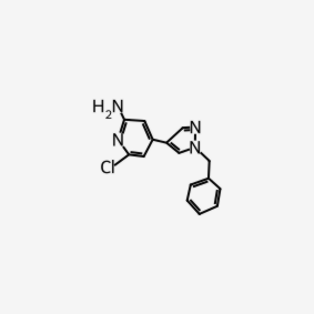 Nc1cc(-c2cnn(Cc3ccccc3)c2)cc(Cl)n1